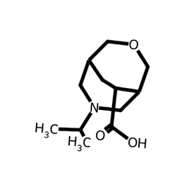 CC(C)N1CC2COCC(C1)C(C(=O)O)C2